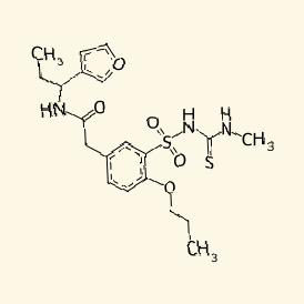 CCCOc1ccc(CC(=O)NC(CC)c2ccoc2)cc1S(=O)(=O)NC(=S)NC